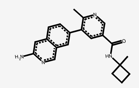 Cc1ncc(C(=O)NC2(C)CCC2)cc1-c1ccc2cc(N)ncc2c1